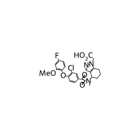 COc1cc(F)ccc1Oc1ccc(S(=O)(=O)N(C)[C@@H]2CCCc3c2cnn3CC(=O)O)cc1Cl